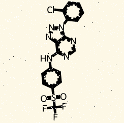 O=S(=O)(c1ccc(Nc2ncnc3c2nnn3-c2ccccc2Cl)cc1)C(F)(F)F